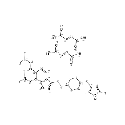 Cc1cc(CN2CCC(CCc3noc4c(CN(C)C)c(OCC(C)C)ccc34)CC2)no1.O=C(O)C=CC(=O)O.O=C(O)C=CC(=O)O